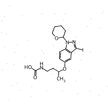 CC(CCNC(=O)O)Oc1ccc2c(c1)c(I)nn2C1CCCCO1